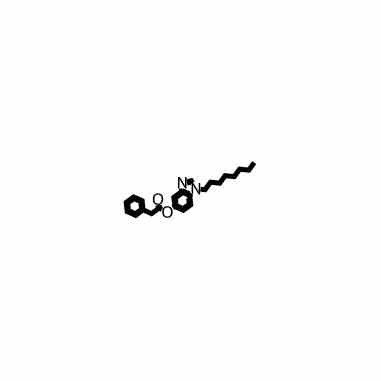 CCCCCCCCn1cnc2cc(OC(=O)Cc3ccccc3)ccc21